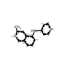 Cc1cc2c(Nc3ccncc3)cccc2cn1